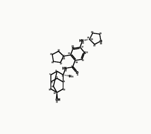 O=C(N[C@H]1C2CC3CC1C[C@@](O)(C3)C2)c1cnc(N[C@@H]2CCOC2)nc1N1CCCC1